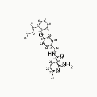 CCCC(C)c1ccccc1Oc1ccc(CNC(=O)c2ccc(C)nc2N)cc1